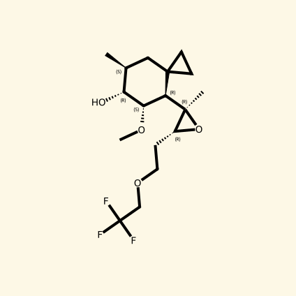 CO[C@@H]1[C@H](O)[C@@H](C)CC2(CC2)[C@H]1[C@@]1(C)O[C@@H]1CCOCC(F)(F)F